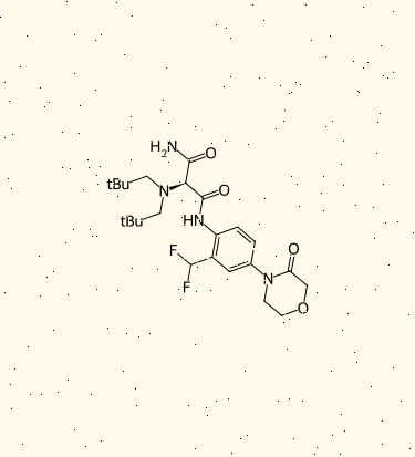 CC(C)(C)CN(CC(C)(C)C)[C@@H](C(N)=O)C(=O)Nc1ccc(N2CCOCC2=O)cc1C(F)F